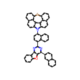 c1ccc2cc(-c3nc(-c4ccc(-n5c6ccc7cccc8sc9cccc%10ccc5c(c%109)c6c78)c5ccccc45)nc4c3oc3ccccc34)ccc2c1